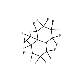 FC(F)(F)C12N(C(F)(F)C(F)(F)C(F)(F)C1(F)F)C(F)(F)C(F)(F)C(F)(F)C2(F)F